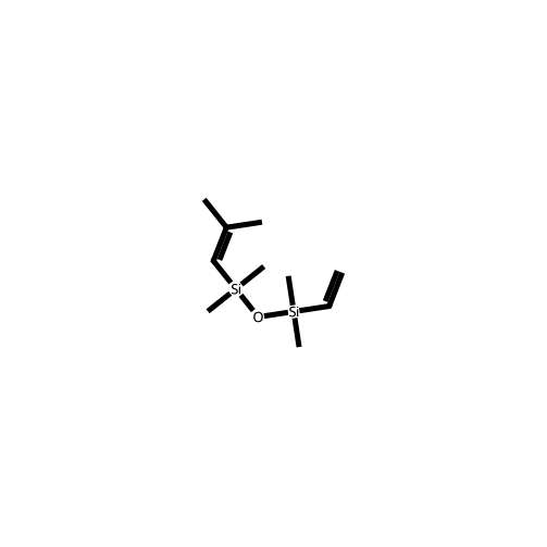 C=C[Si](C)(C)O[Si](C)(C)C=C(C)C